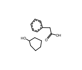 O=C(O)Cc1ccccc1.OC1CCCCC1